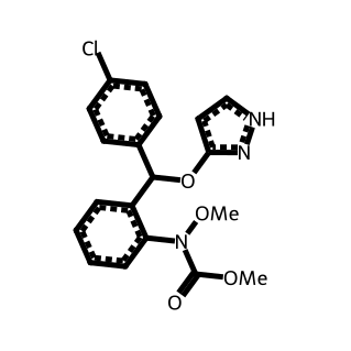 COC(=O)N(OC)c1ccccc1C(Oc1cc[nH]n1)c1ccc(Cl)cc1